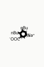 CCCCc1cccc(C(=O)[O-])c1CCCC.[Na+]